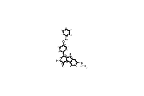 COc1ccc2c(c1)[nH]c1c(-c3ccc(OCc4ccccc4)cc3)n[nH]c(=O)c12